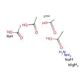 C=C.CC(=O)O.CC(=O)O.CC(=O)O.CC(=O)O.N.N.[MgH2].[NaH].[NaH]